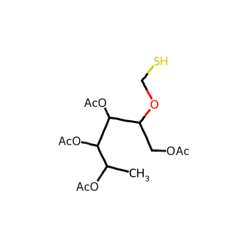 CC(=O)OCC(OCS)C(OC(C)=O)C(OC(C)=O)C(C)OC(C)=O